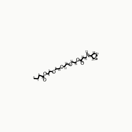 CCCC(=O)OCCOCCOCCOCCOC(=O)CCN(C)C1CSSC1